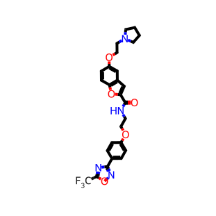 O=C(NCCOc1ccc(-c2noc(C(F)(F)F)n2)cc1)c1cc2cc(OCCN3CCCC3)ccc2o1